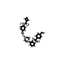 CCc1ccc(-c2nc3c(N4CCN(CCOc5ccc(NC(=O)C6CCC6)cc5)CC4)cccc3[nH]2)cc1